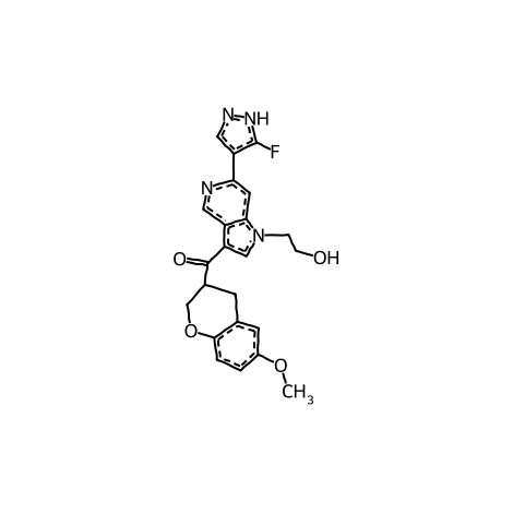 COc1ccc2c(c1)CC(C(=O)c1cn(CCO)c3cc(-c4cn[nH]c4F)ncc13)CO2